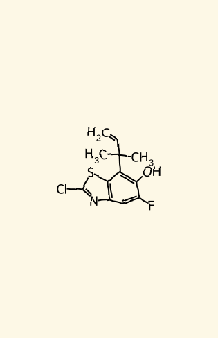 C=CC(C)(C)c1c(O)c(F)cc2nc(Cl)sc12